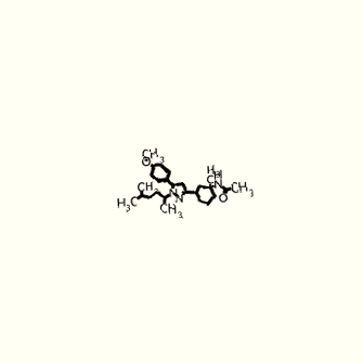 COc1ccc(C2CC(C3CCC[C@@](C)(NC(C)=O)C3)=NN2C(C)CCC(C)C)cc1